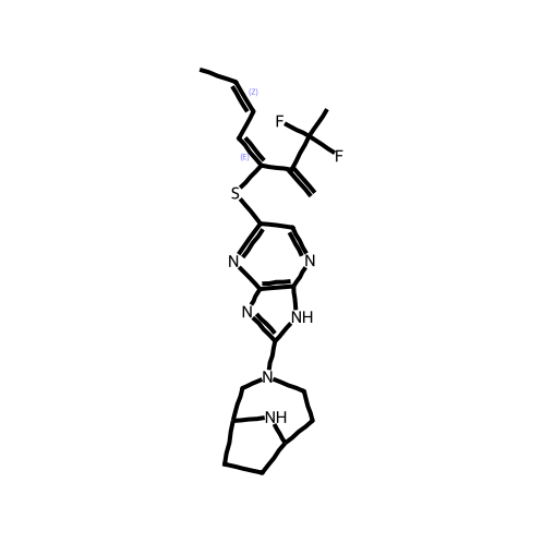 C=C(/C(=C\C=C/C)Sc1cnc2[nH]c(N3CCC4CCC(C3)N4)nc2n1)C(C)(F)F